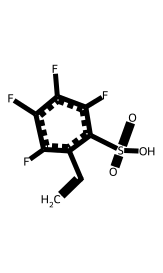 C=Cc1c(F)c(F)c(F)c(F)c1S(=O)(=O)O